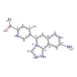 CCC(=O)c1cc(C)c(-c2cc3cnc(N)cc3c3nncn23)cn1